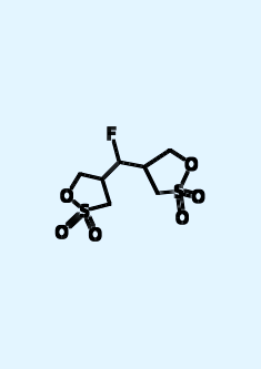 O=S1(=O)CC(C(F)C2COS(=O)(=O)C2)CO1